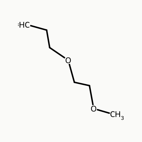 [CH]CCOCCOC